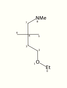 CCOCCC(C)(C)CNC